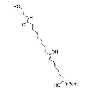 CCCCCC(O)CCCC=CC=C(O)C=CC=CC=CC=CC(=O)NCCO